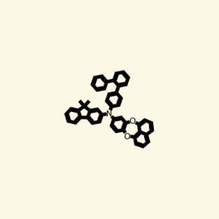 CC1(C)c2ccccc2-c2ccc(N(c3ccc(-c4ccccc4-c4ccccc4)cc3)c3ccc4c(c3)Oc3cccc5cccc(c35)O4)cc21